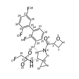 O=C(C1CCO1)N1CC2(CC2)[C@H](NS(=O)(=O)CF)[C@@H]1Cc1cccc(-c2cc(F)ccc2F)c1F